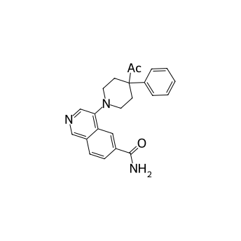 CC(=O)C1(c2ccccc2)CCN(c2cncc3ccc(C(N)=O)cc23)CC1